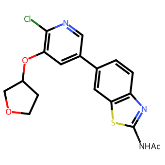 CC(=O)Nc1nc2ccc(-c3cnc(Cl)c(OC4CCOC4)c3)cc2s1